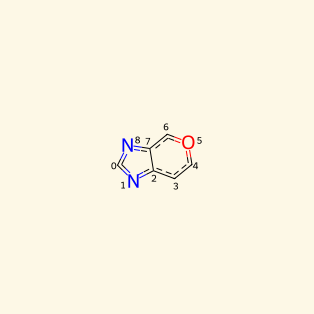 c1nc2ccocc-2n1